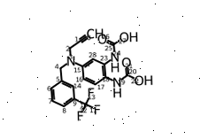 C#CCN(Cc1cccc(C(F)(F)F)c1)c1ccc(NC(=O)O)c(NC(=O)O)c1